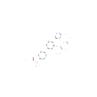 CCOC(=O)N(C1=C(Cl)CCCC1)c1c(C)noc1-c1ccc(-c2ccc(C3(C(=O)OCC)CC3)cc2)cc1